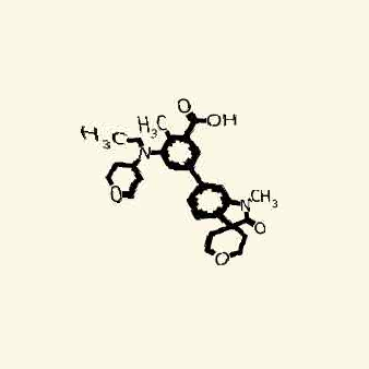 CCN(c1cc(-c2ccc3c(c2)N(C)C(=O)C32CCOCC2)cc(C(=O)O)c1C)C1CCOCC1